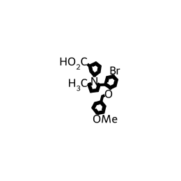 COc1ccc(COc2ccc(Br)cc2-c2ccc(C)n2-c2cccc(C(=O)O)c2)cc1